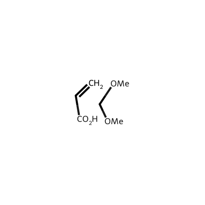 C=CC(=O)O.COCOC